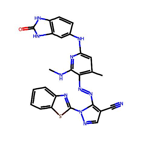 CNc1nc(Nc2ccc3[nH]c(=O)[nH]c3c2)cc(C)c1/N=N/c1c(C#N)cnn1-c1nc2ccccc2s1